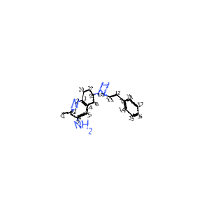 Cc1nc2c(cc1N)CC(NCCc1ccccc1)CC2